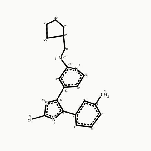 CCc1nc(-c2cccc(C)c2)c(-c2ccnc(NCC3CCCC3)c2)s1